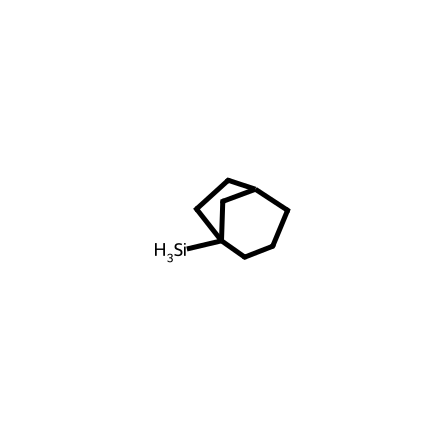 [SiH3]C12CCCC(CC1)C2